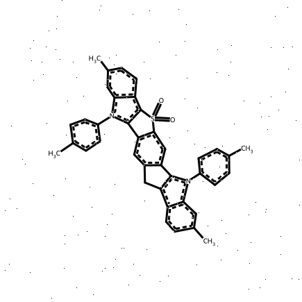 Cc1ccc(-n2c3c(c4ccc(C)cc42)Cc2cc4c(cc2-3)S(=O)(=O)c2c-4n(-c3ccc(C)cc3)c3cc(C)ccc23)cc1